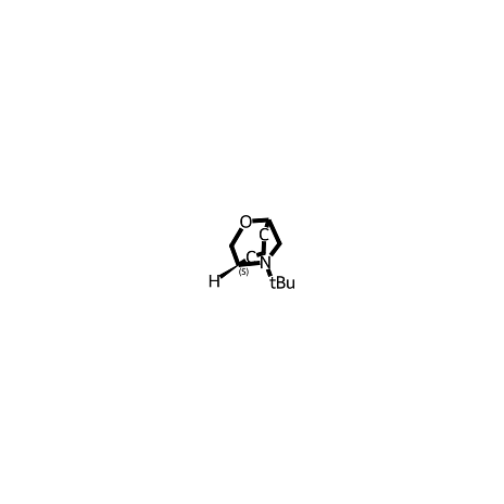 CC(C)(C)N1CC2CCC[C@H]1CO2